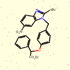 CCCCc1nc2ccc([N+](=O)[O-])cc2n1Cc1ccc(OC(C(=O)OCC)c2ccccc2)cc1